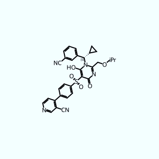 CC(C)OCc1nc(=O)c(S(=O)(=O)c2ccc(-c3ccncc3C#N)cc2)c(O)n1[C@H](c1cccc(C#N)c1)C1CC1